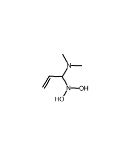 C=CC(N(C)C)N(O)O